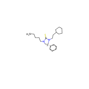 [SiH3]CCCCN1C[C@@H](c2ccccc2)N(CCC2CCCCC2)C1=S